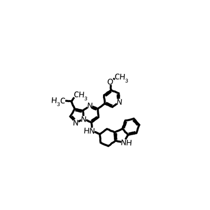 COc1cncc(-c2cc(NC3CCc4[nH]c5ccccc5c4C3)n3ncc(C(C)C)c3n2)c1